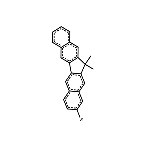 CC1(C)c2cc3ccccc3cc2-c2cc3ccc(Br)cc3cc21